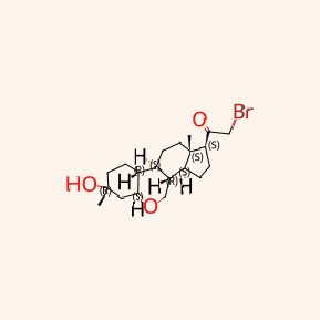 C[C@@]1(O)CC[C@@H]2[C@H]3CC[C@]4(C)[C@@H](C(=O)CBr)CC[C@H]4[C@@H]3CO[C@H]2C1